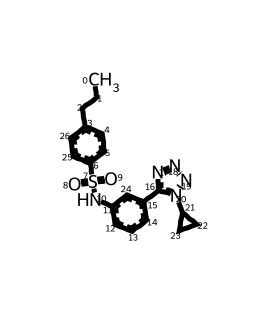 CCCc1ccc(S(=O)(=O)Nc2cccc(-c3nnnn3C3CC3)c2)cc1